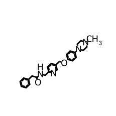 CN1CCN(c2ccc(OCc3ccc(CNC(=O)Cc4ccccc4)nc3)cc2)CC1